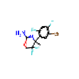 C[C@]1(c2cc(Br)c(F)cc2F)N=C(N)OCC1(F)F